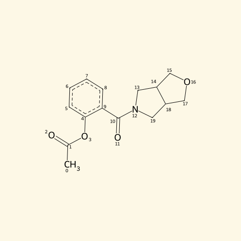 CC(=O)Oc1ccccc1C(=O)N1CC2COCC2C1